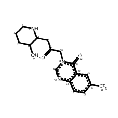 O=C(CC1NCCCC1O)Cn1cnc2ccc(C(F)(F)F)cc2c1=O